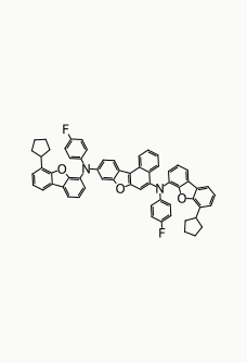 Fc1ccc(N(c2ccc3c(c2)oc2cc(N(c4ccc(F)cc4)c4cccc5c4oc4c(C6CCCC6)cccc45)c4ccccc4c23)c2cccc3c2oc2c(C4CCCC4)cccc23)cc1